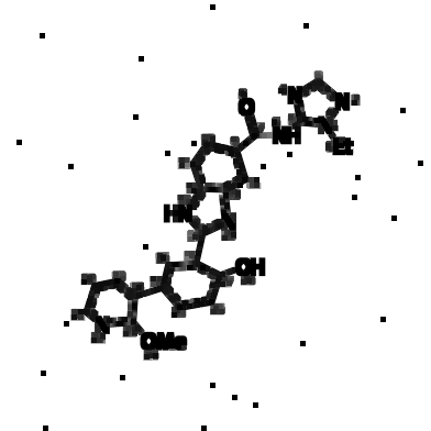 CCn1ncnc1NC(=O)c1ccc2[nH]c(-c3cc(-c4cccnc4OC)ccc3O)nc2c1